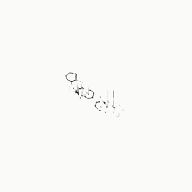 FC(F)(F)c1ccccc1Cc1nnc2cc(-c3ccnc(NC4CCOCC4)n3)ccn12